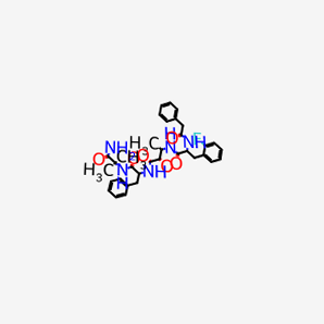 CC(NC(=O)C(Cc1ccccc1F)NC(=O)Cc1ccccc1)C(=O)C(=O)NC(Cc1ccccc1)C(=O)NC(C)(C)C(N)=O